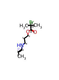 C/C=C/NCCCOC(=O)C(C)(C)Br